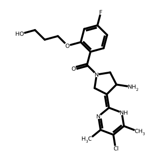 CC1=N/C(=C2\CN(C(=O)c3ccc(F)cc3OCCCO)CC2N)NC(C)=C1Cl